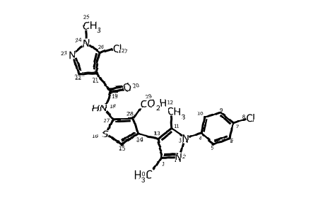 Cc1nn(-c2ccc(Cl)cc2)c(C)c1-c1csc(NC(=O)c2cnn(C)c2Cl)c1C(=O)O